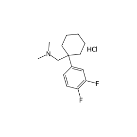 CN(C)CC1(c2ccc(F)c(F)c2)CCCCC1.Cl